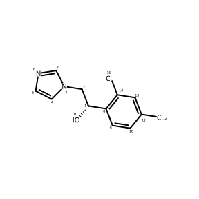 O[C@H](Cn1ccnc1)c1ccc(Cl)cc1Cl